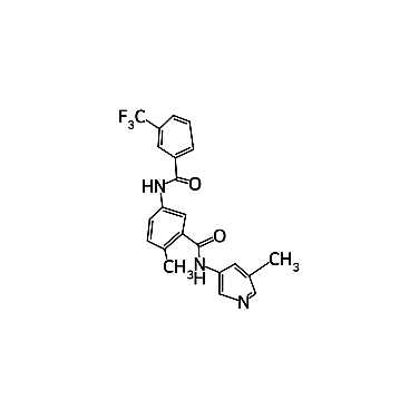 Cc1cncc(NC(=O)c2cc(NC(=O)c3cccc(C(F)(F)F)c3)ccc2C)c1